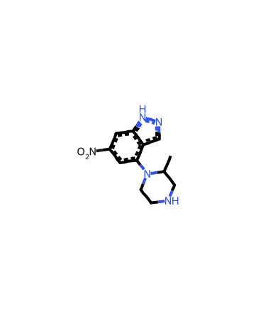 CC1CNCCN1c1cc([N+](=O)[O-])cc2[nH]ncc12